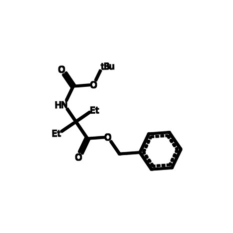 CCC(CC)(NC(=O)OC(C)(C)C)C(=O)OCc1ccccc1